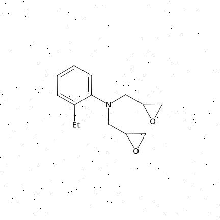 CCc1ccccc1N(CC1CO1)CC1CO1